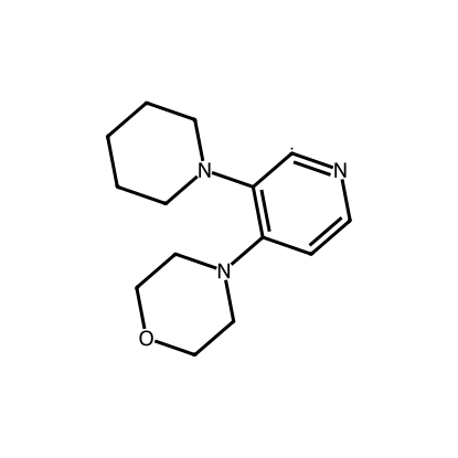 [c]1nccc(N2CCOCC2)c1N1CCCCC1